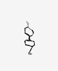 CCC1C=CC(c2ccc(Br)cc2)=CC1